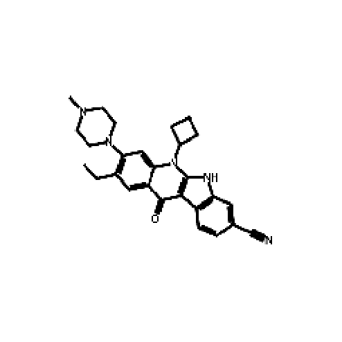 CCc1cc2c(=O)c3c4ccc(C#N)cc4[nH]c3n(C3CCC3)c2cc1N1CCN(C)CC1